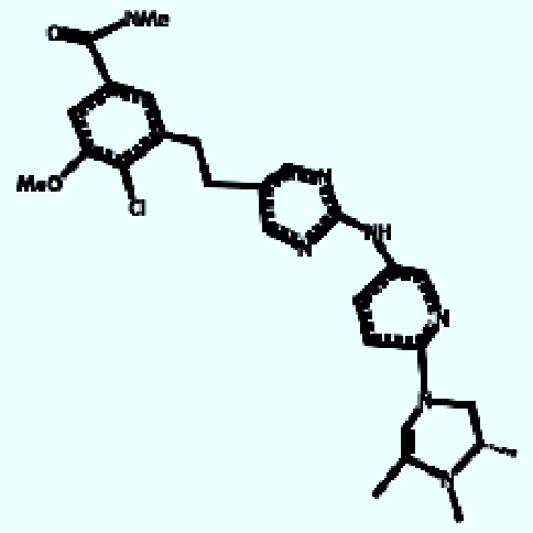 CNC(=O)c1cc(CCc2cnc(Nc3ccc(N4C=C(C)N(C)[C@@H](C)C4)nc3)nc2)c(Cl)c(OC)c1